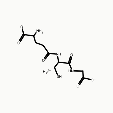 NC(CCC(=O)NC(CS)C(=O)NCC(=O)[O-])C(=O)[O-].[Hg+2]